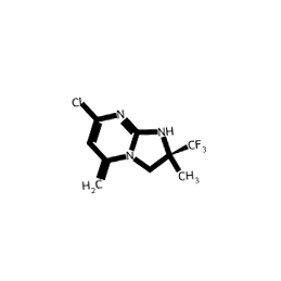 C=C1C=C(Cl)N=C2N[C@@](C)(C(F)(F)F)CN12